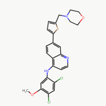 COc1cc(Nc2ccnc3cc(-c4ccc(CN5CCOCC5)s4)ccc23)c(Cl)cc1Cl